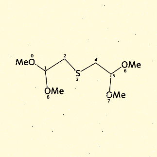 COC(CSCC(OC)OC)OC